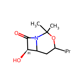 CC(C)C1CC2[C@@H](O)C(=O)N2C(C)(C)O1